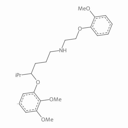 COc1ccccc1OCCNCCCC(Oc1c[c]cc(OC)c1OC)C(C)C